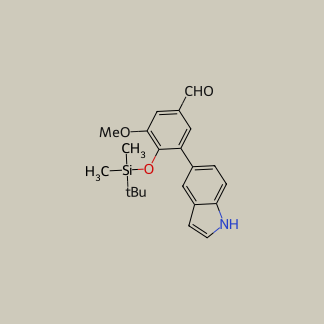 COc1cc(C=O)cc(-c2ccc3[nH]ccc3c2)c1O[Si](C)(C)C(C)(C)C